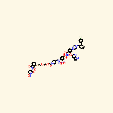 CC1(C)CCC(CN2CCN(c3ccc(C(=O)NS(=O)(=O)c4ccc(NCC5CCN(C(=O)COCCOCCSc6cccc7c6C(=O)N(C6CCC(=O)NC6=O)C7=O)CC5)c([N+](=O)[O-])c4)c(Oc4cnc5[nH]ccc5c4)c3)CC2)=C(c2ccc(Cl)cc2)C1